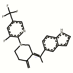 C=C1CCN(c2ncc(C(F)(F)F)cc2F)C/C1=C(/C)c1ccc2[nH]ccc2c1